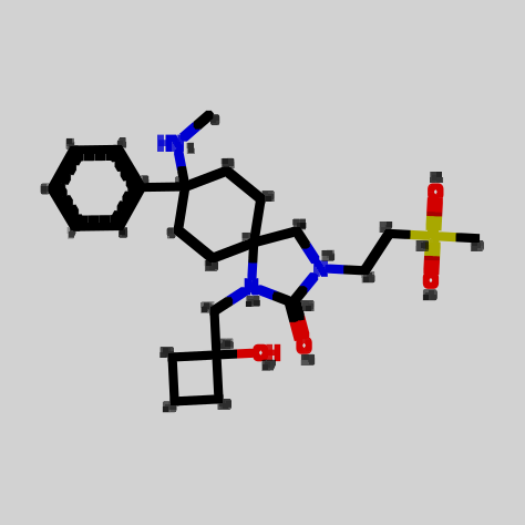 CNC1(c2ccccc2)CCC2(CC1)CN(CCS(C)(=O)=O)C(=O)N2CC1(O)CCC1